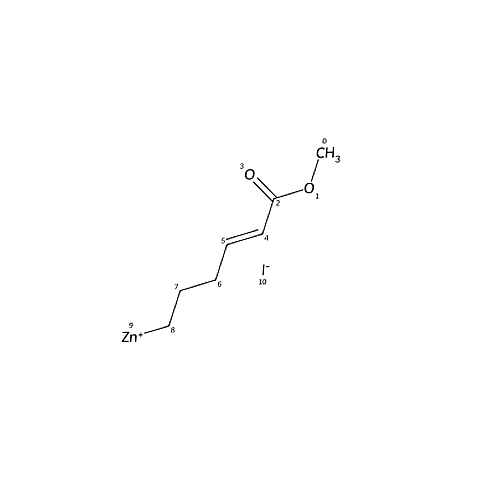 COC(=O)C=CCC[CH2][Zn+].[I-]